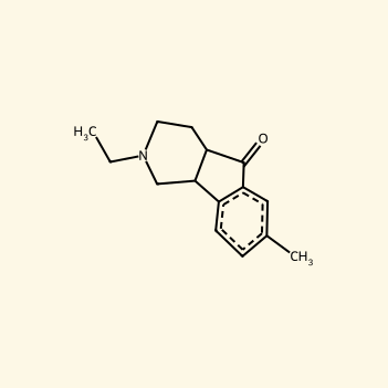 CCN1CCC2C(=O)c3cc(C)ccc3C2C1